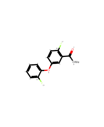 COC(=O)c1cc(Oc2ccccc2F)ccc1F